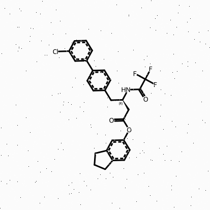 O=C(C[C@@H](Cc1ccc(-c2cccc(Cl)c2)cc1)NC(=O)C(F)(F)F)Oc1ccc2c(c1)CCC2